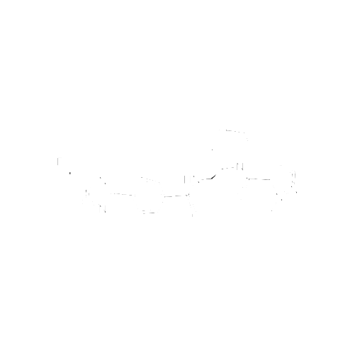 CCn1nccc1C(=O)N1CCOC[C@@H]1CNC(=O)c1ccc(-c2noc(C(F)(F)F)n2)cc1